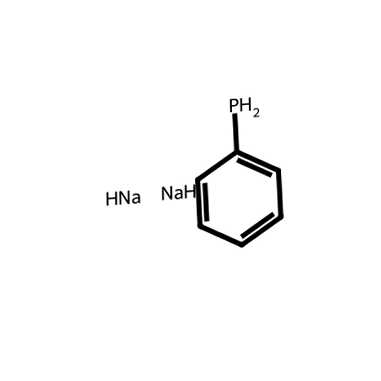 Pc1ccccc1.[NaH].[NaH]